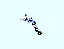 CCC(COC)n1cnc2c(N3CCC(NC(=O)c4ccc(-c5cccc(F)c5)nc4)CC3)ncnc21